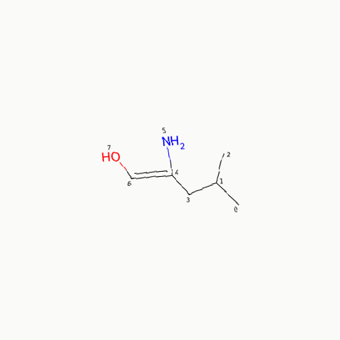 CC(C)CC(N)=CO